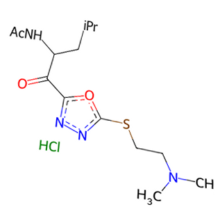 CC(=O)NC(CC(C)C)C(=O)c1nnc(SCCN(C)C)o1.Cl